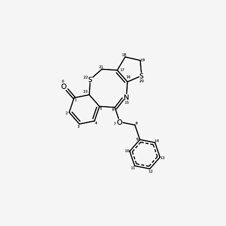 O=C1C=CC=C2/C(OCc3ccccc3)=N\C3=C(CCS3)CSC12